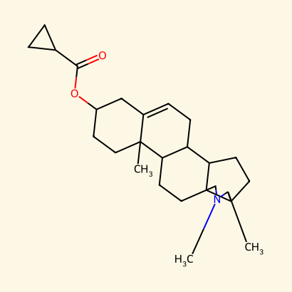 CC1C2CCC3C4CC=C5CC(OC(=O)C6CC6)CCC5(C)C4CCC32CN1C